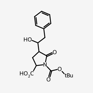 CC(C)(C)OC(=O)N1C(=O)C(C(O)Cc2ccccc2)CC1C(=O)O